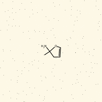 [CH2]C1(N)CC=CO1